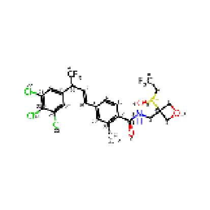 O=C(NCC1([S+]([O-])CC(F)(F)F)COC1)c1ccc(/C=C/C(c2cc(Cl)c(Cl)c(Cl)c2)C(F)(F)F)cc1C(F)(F)F